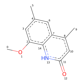 COc1cc(C)cc2c(C)cc(=O)[nH]c12